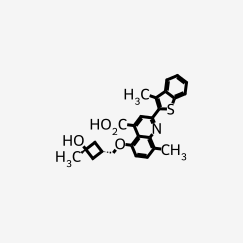 Cc1c(-c2cc(C(=O)O)c3c(OC[C@H]4C[C@@](C)(O)C4)ccc(C)c3n2)sc2ccccc12